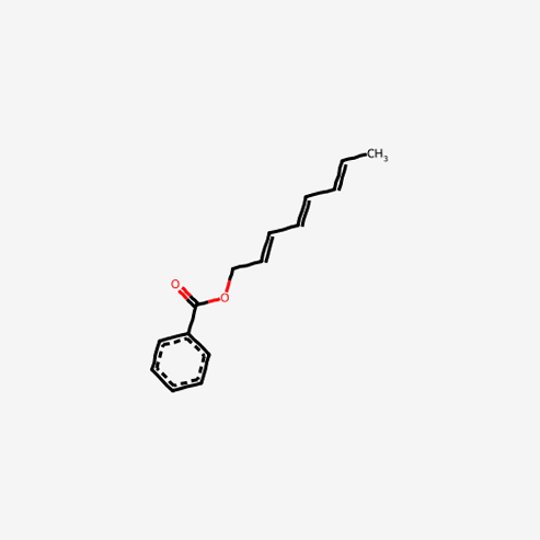 C/C=C/C=C/C=C/COC(=O)c1ccccc1